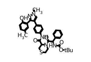 Cc1ccc(O)c(-c2nn(C)cc2-c2ccc(NC(=O)C3CSCCN3C(=O)[C@H](NC(=O)OC(C)(C)C)c3ccccc3)cc2)c1